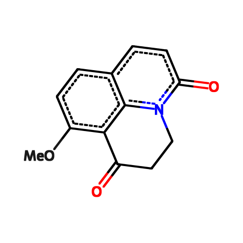 COc1ccc2ccc(=O)n3c2c1C(=O)CC3